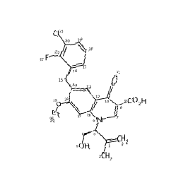 C=C(C)[C@@H](CO)n1cc(C(=O)O)c(=O)c2cc(Cc3cccc(Cl)c3F)c(OCC)cc21